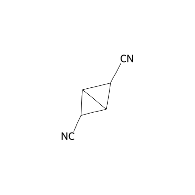 N#CC1C2C(C#N)C12